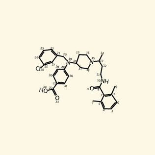 Cc1cccc(C)c1C(=O)NCCC(C)N1CCC(N(Cc2cccc(Cl)c2)c2ccc(C(=O)O)cc2)CC1